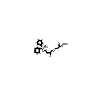 CC(C)(C)OC(=O)CCOC/C(F)=C\CO[Si](c1ccccc1)(c1ccccc1)C(C)(C)C